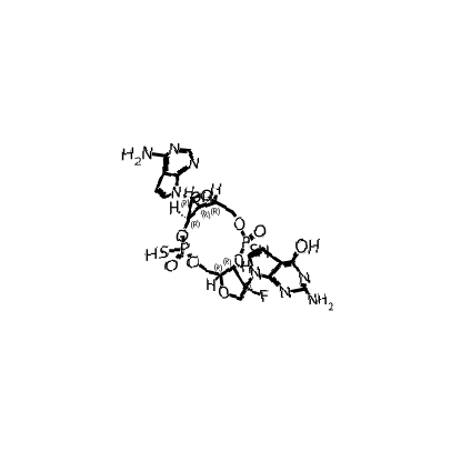 Nc1nc(O)c2ccn([C@]3(F)CO[C@@H]4COP(=O)(S)O[C@@H]5[C@H](O)[C@@H](COP(=O)(S)O[C@H]43)O[C@H]5n3ccc4c(N)ncnc43)c2n1